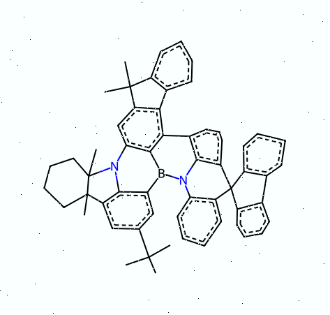 CC(C)(C)c1cc2c3c(c1)C1(C)CCCCC1(C)N3c1cc3c(c4c1B2N1c2ccccc2C2(c5ccccc5-c5ccccc52)c2cccc-4c21)-c1ccccc1C3(C)C